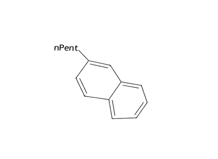 [CH2]CCCCc1ccc2ccccc2c1